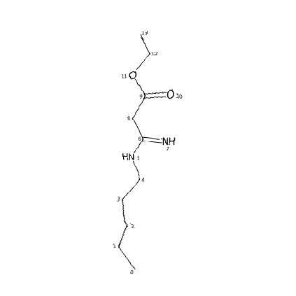 CCCCCNC(=N)CC(=O)OCC